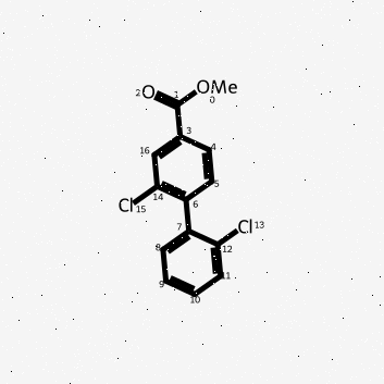 COC(=O)c1ccc(-c2ccccc2Cl)c(Cl)c1